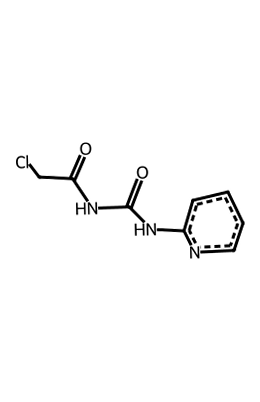 O=C(CCl)NC(=O)Nc1ccccn1